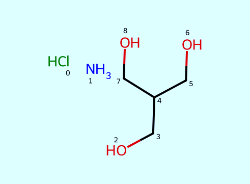 Cl.N.OCC(CO)CO